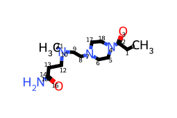 CCC(=O)N1CCN(CCN(C)CCC(N)=O)CC1